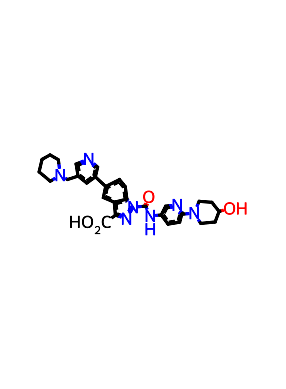 O=C(O)c1nn(C(=O)Nc2ccc(N3CCC(O)CC3)nc2)c2ccc(-c3cncc(CN4CCCCC4)c3)cc12